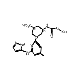 Cc1cc(Nc2ccn[nH]2)nc(N2C[C@H](NC(=O)OC(C)(C)C)C[C@H](C(=O)O)C2)c1